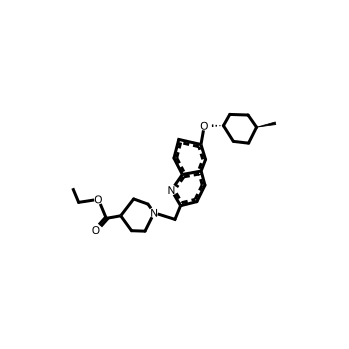 CCOC(=O)C1CCN(Cc2ccc3cc(O[C@H]4CC[C@H](C)CC4)ccc3n2)CC1